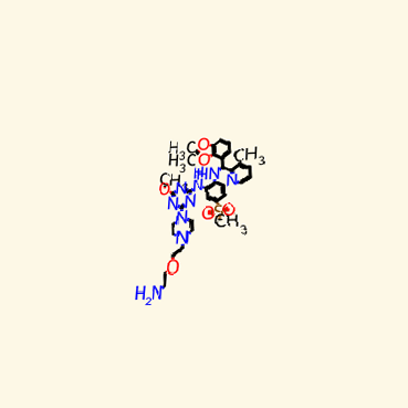 COc1nc(Nc2cc(S(C)(=O)=O)ccc2NC(c2cccc3c2OC(C)(C)O3)c2ncccc2C)nc(N2CCN(CCOCCN)CC2)n1